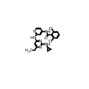 CCc1cc(Nc2cc(NC(=O)c3c(Cl)cccc3Cl)ccn2)nc(NC2CC2)n1